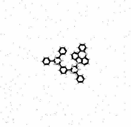 c1ccc(-c2nc(-c3ccccc3)nc(-c3cccc(-c4nc(-c5ccccc5)nc(-n5c6cccc7oc8ccccc8c8cccc5c8c76)n4)c3)n2)cc1